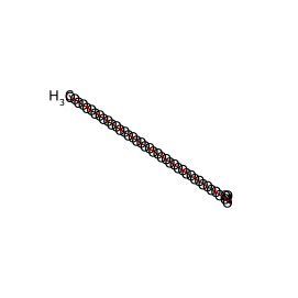 COCCOCCOCCOCCOCCOCCOCCOCCOCCOCCOCCOCCOCCOCCOCCOCCOCCOCCOCCOCCOCCOCCOCCOCCOCCOCCOCCOCCOCCOCCOCCOCCOCCOCCOCCOCCOCCC(=O)ON1C(=O)CCC1=O